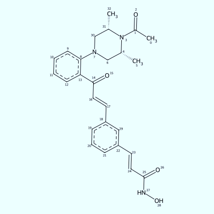 CC(=O)N1[C@H](C)CN(c2ccccc2C(=O)/C=C/c2cccc(/C=C/C(=O)NO)c2)C[C@@H]1C